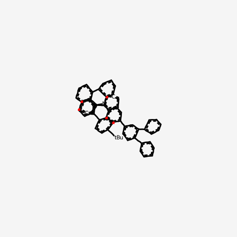 CC(C)(C)c1ccc(-c2ccccc2N(c2ccc(-c3ccc(-c4ccccc4)c(-c4ccccc4)c3)cc2)c2ccccc2-c2cccc3cccc(-c4ccccc4)c23)cc1